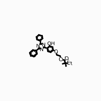 CCC(C)(C)C(=O)OCCOc1ccc(-c2nc(-c3ccccc3)nc(-c3ccccc3)n2)c(O)c1